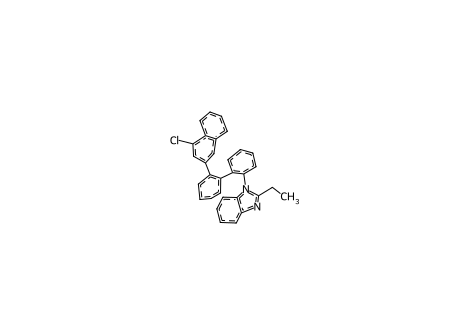 CCc1nc2ccccc2n1-c1ccccc1-c1ccccc1-c1cc(Cl)c2ccccc2c1